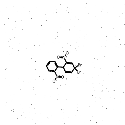 O=[N+]([O-])C1=CC(Br)(Br)C=CC1c1ccccc1[N+](=O)[O-]